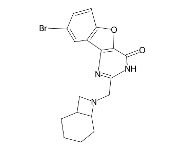 O=c1[nH]c(CN2CC3CCCCC32)nc2c1oc1ccc(Br)cc12